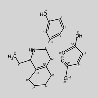 CCC1N[C@H](c2cccc(O)c2)CC2=C1CCCC2.O=C(O)/C=C\C(=O)O